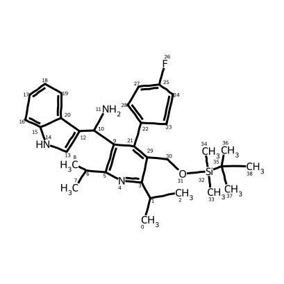 CC(C)c1nc(C(C)C)c(C(N)c2c[nH]c3ccccc23)c(-c2ccc(F)cc2)c1CO[Si](C)(C)C(C)(C)C